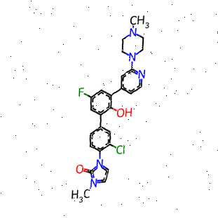 CN1CCN(c2cc(-c3cc(F)cc(-c4ccc(-n5ccn(C)c5=O)c(Cl)c4)c3O)ccn2)CC1